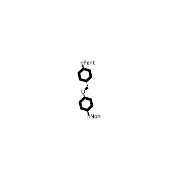 CCCCCCCCC[C@H]1CC[C@H](OC[C@H]2CC[C@H](CCCCC)CC2)CC1